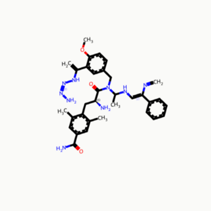 C=N/C(=C\NC(C)N(Cc1ccc(OC)c(C(=C)N/N=N\N)c1)C(=O)[C@@H](N)Cc1c(C)cc(C(N)=O)cc1C)c1ccccc1